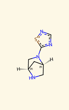 c1nsc(N2C[C@H]3C[C@@H]2CN3)n1